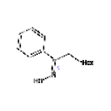 CCCCCCC/C(=N/O)c1ccccc1